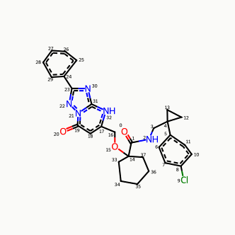 O=C(NCC1(c2ccc(Cl)cc2)CC1)C1(OCc2cc(=O)n3nc(-c4ccccc4)nc3[nH]2)CCCCC1